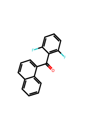 O=C(c1c(F)cccc1F)c1cccc2ccccc12